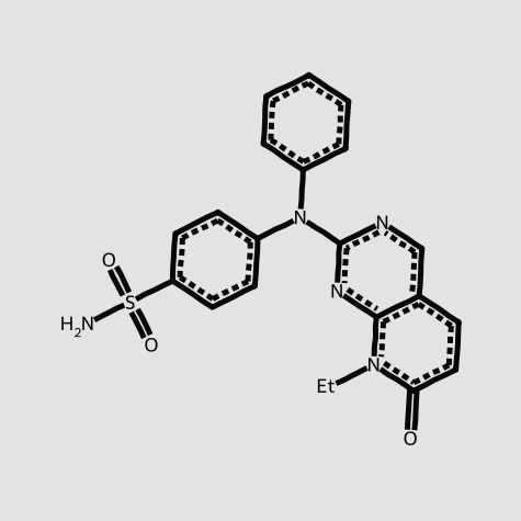 CCn1c(=O)ccc2cnc(N(c3ccccc3)c3ccc(S(N)(=O)=O)cc3)nc21